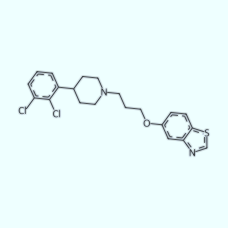 Clc1cccc(C2CCN(CCCOc3ccc4scnc4c3)CC2)c1Cl